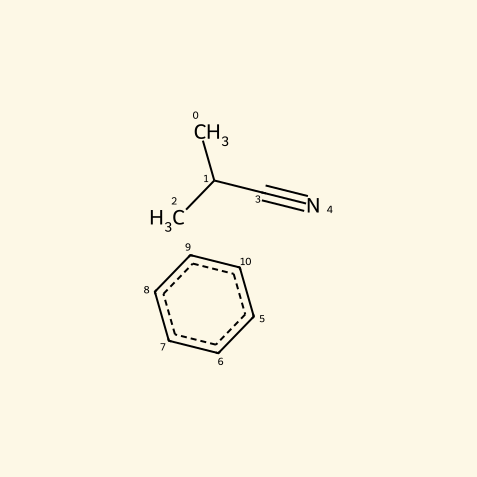 CC(C)C#N.c1ccccc1